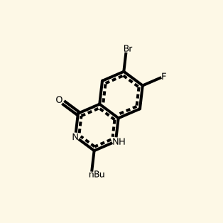 CCCCc1nc(=O)c2cc(Br)c(F)cc2[nH]1